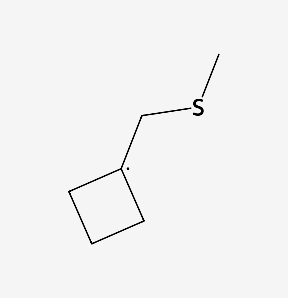 CSC[C]1CCC1